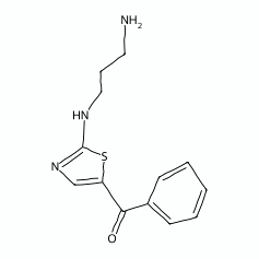 NCCCNc1ncc(C(=O)c2ccccc2)s1